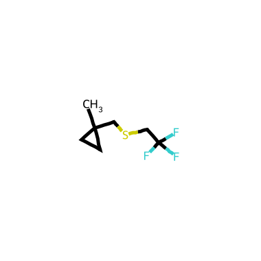 CC1(CSCC(F)(F)F)CC1